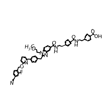 COCCn1c(Cc2ccc(-c3cccc(OCc4ccc(C#N)cc4F)n3)cc2)nc2cc(C(=O)NCCc3ccc(C(=O)NCCc4ccc(C(=O)O)cc4)cc3)ccc21